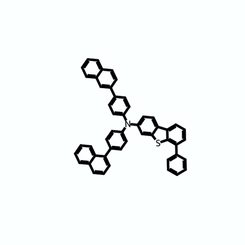 c1ccc(-c2cccc3c2sc2cc(N(c4ccc(-c5ccc6ccccc6c5)cc4)c4ccc(-c5cccc6ccccc56)cc4)ccc23)cc1